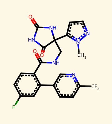 Cn1nccc1C1(CNC(=O)c2ccc(F)cc2-c2ccc(C(F)(F)F)nc2)NC(=O)NC1=O